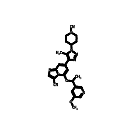 Cc1c(-c2cc(OC(C)c3cncc(OC(F)(F)F)c3)n3c(C#N)cnc3c2)nnn1C1CCN(C#N)CC1